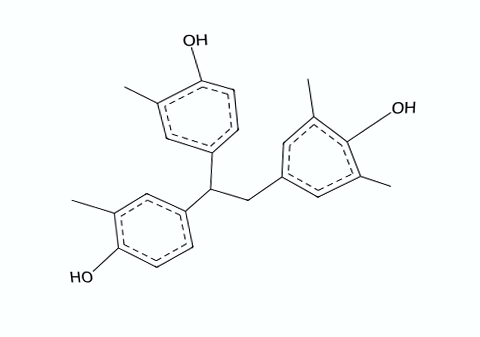 Cc1cc(C(Cc2cc(C)c(O)c(C)c2)c2ccc(O)c(C)c2)ccc1O